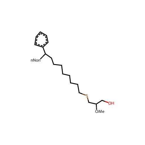 CCCCCCCCCC(CCCCCCCCSCC(CO)OC)c1ccccc1